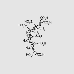 Cc1cc(N=Nc2cc(OCCCS(=O)(=O)O)c(NC(=O)Nc3cc(C)c(N=Nc4cc(C)c(N=Nc5cc(C(=O)O)cc(C(=O)O)c5)cc4OCCCS(=O)(=O)O)cc3OCCCS(=O)(=O)O)cc2C)c(OCCCS(=O)(=O)O)cc1N=Nc1cc(C(=O)O)cc(C(=O)O)c1